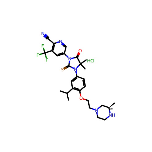 CC(C)c1cc(N2C(=S)N(c3cnc(C#N)c(C(F)(F)F)c3)C(=O)C2(C)C)ccc1OCCN1CCN[C@H](C)C1.Cl